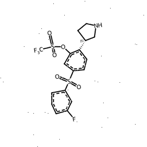 O=S(=O)(c1cccc(F)c1)c1ccc([C@@H]2CCNC2)c(OS(=O)(=O)C(F)(F)F)c1